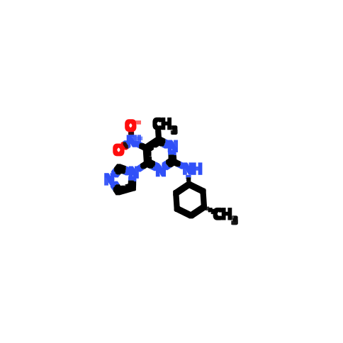 Cc1nc(N[C@H]2CCC[C@@H](C)C2)nc(-n2ccnc2)c1[N+](=O)[O-]